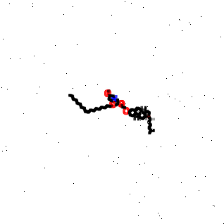 CCCCCCCC/C=C\CCCCCCCCOCC(CN1CCC(OC)C1)OCCO[C@H]1CC[C@@]2(C)C(=CC[C@H]3[C@@H]4CC[C@H]([C@H](C)CCCC(C)C)[C@@]4(C)CC[C@@H]32)C1